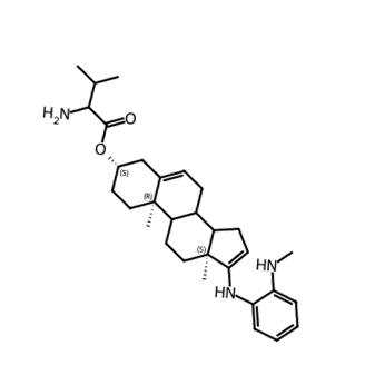 CNc1ccccc1NC1=CCC2C3CC=C4C[C@@H](OC(=O)C(N)C(C)C)CC[C@]4(C)C3CC[C@]12C